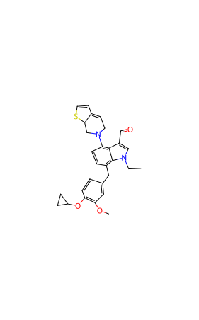 CCn1cc(C=O)c2c(N3CC=C4C=CSC4C3)ccc(Cc3ccc(OC4CC4)c(OC)c3)c21